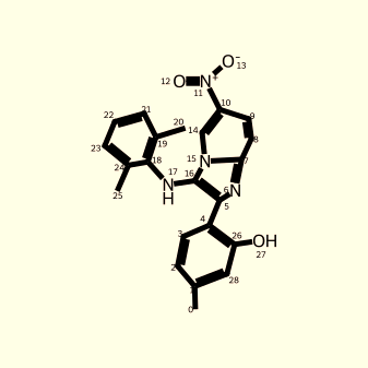 Cc1ccc(-c2nc3ccc([N+](=O)[O-])cn3c2Nc2c(C)cccc2C)c(O)c1